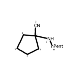 CCCCCNC1(C#N)CCCC1